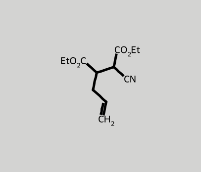 C=CCC(C(=O)OCC)C(C#N)C(=O)OCC